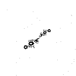 O=C(CCSCC(=O)Nc1ccc(Nc2ccccc2)cc1)Nc1ccc(Nc2ccccc2)cc1